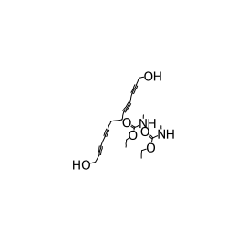 CCOC(=O)NC.CCOC(=O)NC.OCC#CC#CCCC#CC#CCO